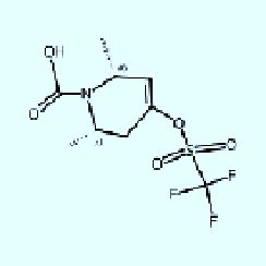 C[C@@H]1C=C(OS(=O)(=O)C(F)(F)F)C[C@H](C)N1C(=O)O